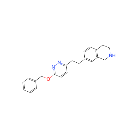 c1ccc(COc2ccc(CCc3ccc4c(c3)CNCC4)nn2)cc1